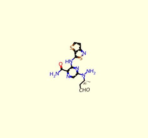 C[C@H](CC=O)N(N)c1cnc(C(N)=O)c(Nc2snc3ccsc23)n1